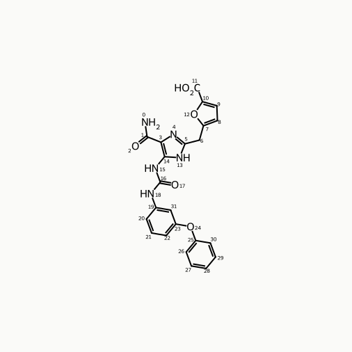 NC(=O)c1nc(Cc2ccc(C(=O)O)o2)[nH]c1NC(=O)Nc1cccc(Oc2ccccc2)c1